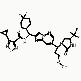 COCCC(c1cnn2cc([C@@H](NC(=O)c3nonc3C3CC3)C3CCC(F)(F)CC3)nc2c1)N1C[C@@H](C(F)(F)F)NC1=O